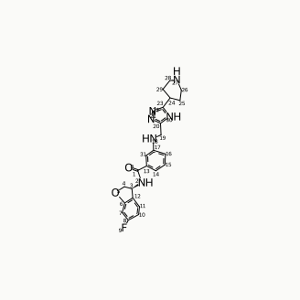 O=C(N[C@@H]1COc2cc(F)ccc21)c1cccc(NCc2nnc(C3CCNCC3)[nH]2)c1